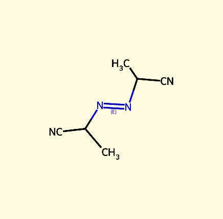 CC(C#N)/N=N/C(C)C#N